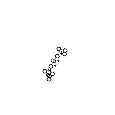 CC1(C)c2cc(N(c3ccccc3)c3ccccc3-c3ccccc3)ccc2-c2oc3c(c21)C(C)(C)c1cc(N(c2ccccc2-c2ccccc2)c2cccc4c2oc2ccccc24)ccc1-3